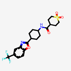 O=C(NC1CCC(c2nc3cc(C(F)(F)F)ccc3o2)CC1)C1CCS(=O)(=O)CC1